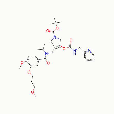 COCCCOc1cc(C(=O)N(C[C@@H]2CN(C(=O)OC(C)(C)C)C[C@H]2OC(=O)NCc2ccccn2)C(C)C)ccc1OC